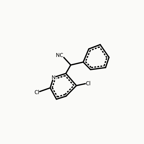 N#CC(c1ccccc1)c1nc(Cl)ccc1Cl